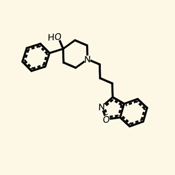 OC1(c2ccccc2)CCN(CCCc2noc3ccccc23)CC1